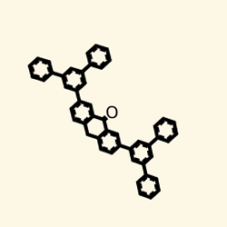 O=C1c2cc(-c3cc(-c4ccccc4)cc(-c4ccccc4)c3)ccc2Cc2ccc(-c3cc(-c4ccccc4)cc(-c4ccccc4)c3)cc21